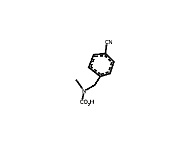 CN(Cc1ccc(C#N)cc1)C(=O)O